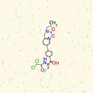 CC1CN(Cc2ccc(-c3ccc([C@@H](O)[C@@H](CF)NC(=O)C(Cl)Cl)cc3)cn2)C(=O)O1